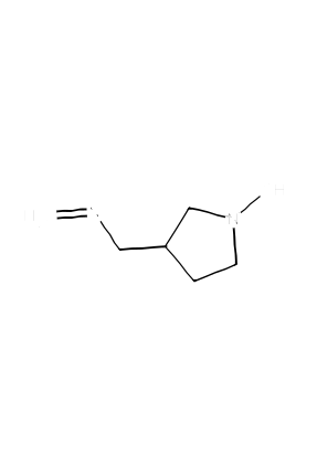 C=NCC1CCN(C)C1